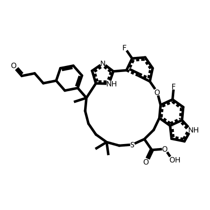 CC1(C)CCCC(C)(C2=CC=CC(CCC=O)C2)c2cnc([nH]2)-c2cc(ccc2F)Oc2c(F)cc3[nH]ccc3c2CC(C(=O)OO)SC1